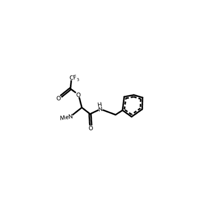 CNC(OC(=O)C(F)(F)F)C(=O)NCc1ccccc1